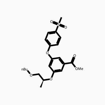 CCCCOC[C@H](C)Oc1cc(Oc2ccc(S(C)(=O)=O)cc2)cc(C(=O)OC)c1